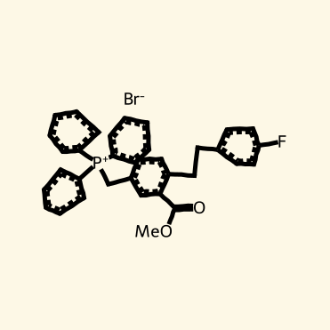 COC(=O)c1cc(C[P+](c2ccccc2)(c2ccccc2)c2ccccc2)ccc1CCc1ccc(F)cc1.[Br-]